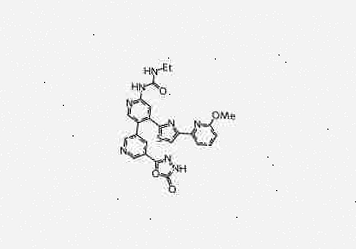 CCNC(=O)Nc1cc(-c2nc(-c3cccc(OC)n3)cs2)c(-c2cncc(-c3n[nH]c(=O)o3)c2)cn1